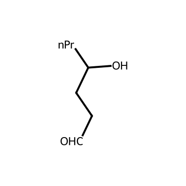 CCCC(O)CCC=O